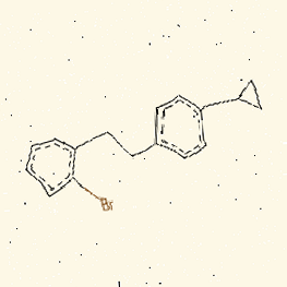 Brc1ccccc1C[CH]c1ccc(C2CC2)cc1